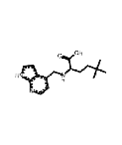 CC(C)(C)CCC(NCc1ccnc2[nH]ccc12)C(=O)O